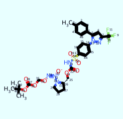 Cc1ccc(-c2cc(C(F)(F)F)nn2-c2ccc(S(=O)(=O)NC(=O)OC[C@@H]3CCCN3/[N+]([O-])=N\OCOC(=O)OC(C)(C)C)cc2)cc1